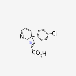 O=C(O)/C=C/C1(c2ccc(Cl)cc2)C=CC=NC1